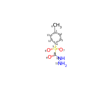 Cc1ccc(S(=O)(=O)C(=O)NN)cc1